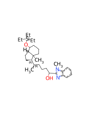 CC[Si](CC)(CC)OC1CCCC2(C)[C@@H]([C@H](C)CCCC(O)c3nc4ccccc4n3C)CC[C@@H]12